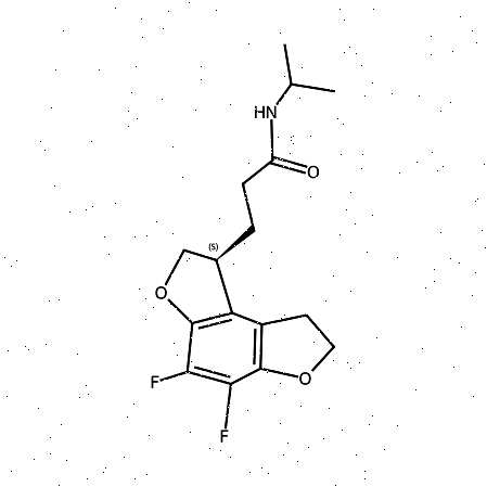 CC(C)NC(=O)CC[C@@H]1COc2c(F)c(F)c3c(c21)CCO3